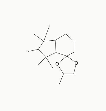 CC1COC2(CCCC3C2C(C)(C)C(C)C3(C)C)O1